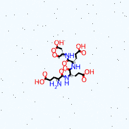 N[C@@H](CCC(=O)O)C(=O)N[C@@H](CCC(=O)O)C(=O)N[C@@H](CCC(=O)O)C(=O)N[C@H]([C]=O)CC(=O)O